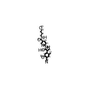 COCCCCNC(=O)c1ccc(-n2ncc(-c3cc(OC)c(C#N)cc3C)c2O)nc1